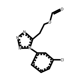 O=COCCc1nnnn1-c1cccc(Cl)c1